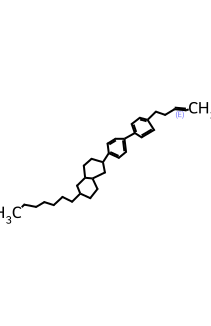 C/C=C/CCc1ccc(-c2ccc(C3CCC4CC(CCCCCCC)CCC4C3)cc2)cc1